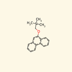 C[Si](C)(C)COc1cc2ccccc2c2ccccc12